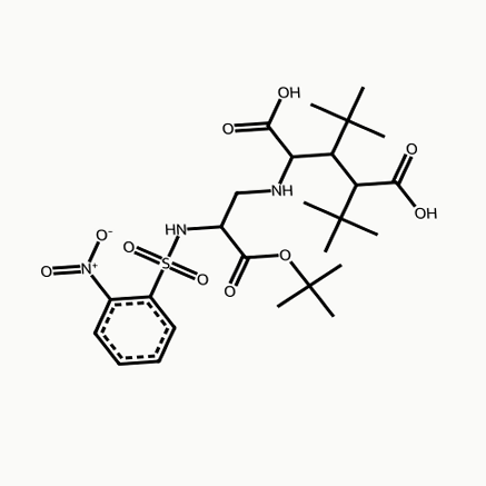 CC(C)(C)OC(=O)C(CNC(C(=O)O)C(C(C(=O)O)C(C)(C)C)C(C)(C)C)NS(=O)(=O)c1ccccc1[N+](=O)[O-]